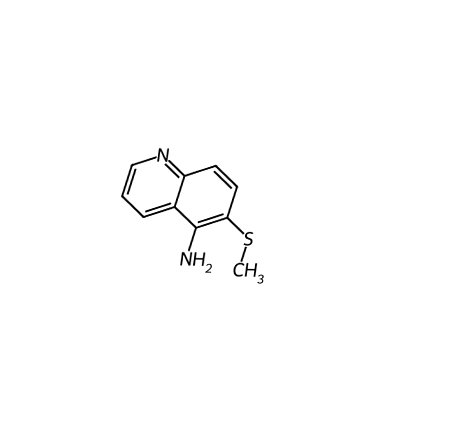 CSc1ccc2ncccc2c1N